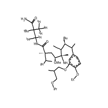 [2H]C([2H])([2H])C(C(N)=O)(C(C)(C)C)C([2H])([2H])NC(=O)[C@@](C)(C[C@H](OC)[C@@](C)(N)C(C)[C@@H](C(C)CC)C(C)c1ccc(OCC)c(OCC(C)COC(C)C)c1)C(C)C(C)C